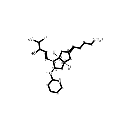 CCCCC(F)C(O)C=C[C@H]1[C@H]2CC(=CCCCC(=O)O)C[C@H]2C[C@H]1OC1CCCCO1